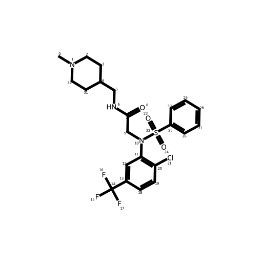 CN1CCC(CNC(=O)CN(c2cc(C(F)(F)F)ccc2Cl)S(=O)(=O)c2ccccc2)CC1